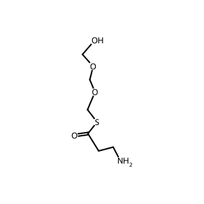 NCCC(=O)SCOCOCO